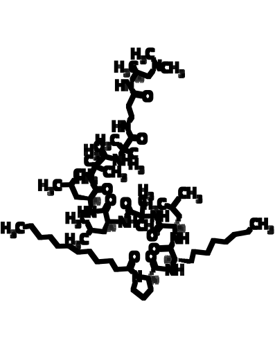 CCCCCCCCCCCC(=O)N1CCC[C@H]1C(=O)N[C@@H](CCCCCCCC)C(=O)N[C@@H](CC(C)C)C(=O)NC(C)(C)C(=O)N[C@@H](CC(C)C)C(=O)N[C@@H](CC(C)C)C(=O)NC(C)(C)C(=O)NC(C)(C)C(=O)NCCC(=O)N[C@@H](C)CN(C)C